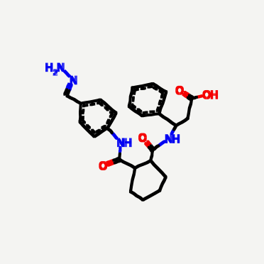 NN=Cc1ccc(NC(=O)C2CCCCC2C(=O)NC(CC(=O)O)c2ccccc2)cc1